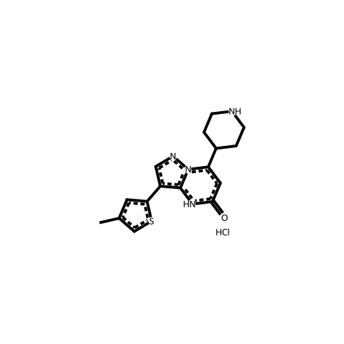 Cc1csc(-c2cnn3c(C4CCNCC4)cc(=O)[nH]c23)c1.Cl